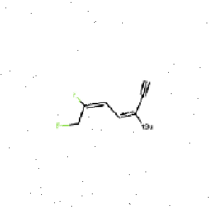 C#C/C(=C\C=C(\F)CF)C(C)(C)C